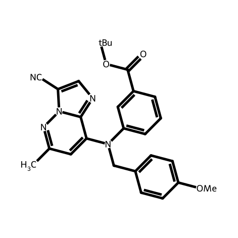 COc1ccc(CN(c2cccc(C(=O)OC(C)(C)C)c2)c2cc(C)nn3c(C#N)cnc23)cc1